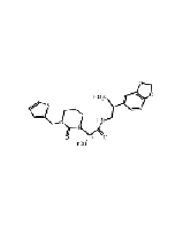 CCCC[C@@H](C(=O)NCC(C(=O)O)c1ccc2c(c1)OCO2)N1CCCN(Cc2cccs2)C1=O